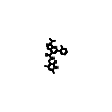 Cc1cc(C)c(CNC(=O)c2cc(-c3ccccc3C)nc3c2cnn3C(C)C)c(=O)[nH]1